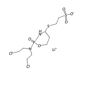 O=P1(N(CCCl)CCCl)NC(SCCS(=O)(=O)[O-])CCO1.[Li+]